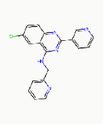 Clc1ccc2nc(-c3cccnc3)nc(NCc3ccccn3)c2c1